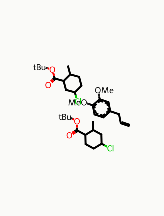 C=CCc1ccc(OC)c(OC)c1.CC1CC(Cl)CCC1C(=O)OC(C)(C)C.CC1CCC(Cl)CC1C(=O)OC(C)(C)C